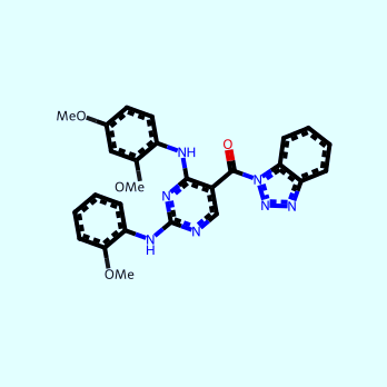 COc1ccc(Nc2nc(Nc3ccccc3OC)ncc2C(=O)n2nnc3ccccc32)c(OC)c1